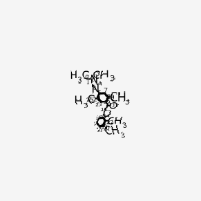 CCN(C)C=Nc1cc(C)c(C(=O)COc2cccc(C)c2C)cc1C